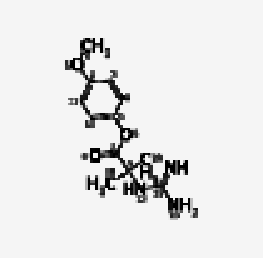 COc1ccc(OC(=O)C(C)(C)NC(=N)N)cc1